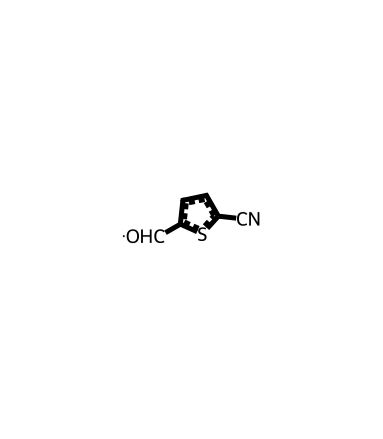 N#Cc1ccc([C]=O)s1